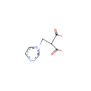 O=C(O)C(C[n+]1cc[nH]c1)C(=O)O.[Cl-]